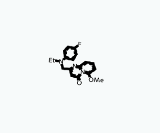 CCN(Cc1cc(=O)n2c(OC)cccc2n1)c1ccc(F)cc1